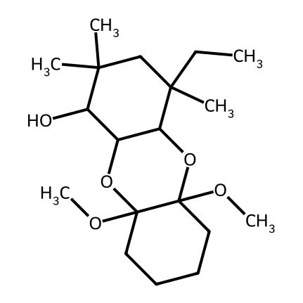 CCC1(C)CC(C)(C)C(O)C2OC3(OC)CCCCC3(OC)OC21